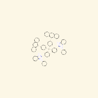 c1ccc(-n2c(-c3ccc4c(c3)C(c3ccc(-c5c6ccccc6cc6ccccc56)cc3)(c3ccc(-c5c6ccccc6cc6ccccc56)cc3)c3cc(-c5nc6ccccc6n5-c5ccccc5)ccc3-4)nc3ccccc32)cc1